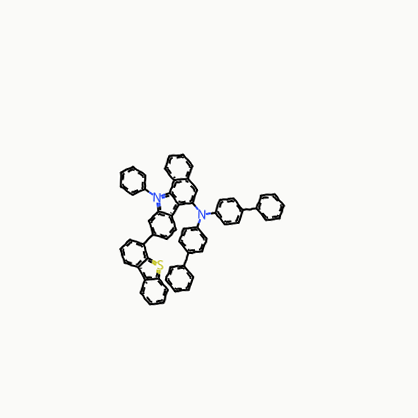 c1ccc(-c2ccc(N(c3ccc(-c4ccccc4)cc3)c3cc4ccccc4c4c3c3ccc(-c5cccc6c5sc5ccccc56)cc3n4-c3ccccc3)cc2)cc1